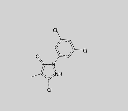 Cc1c(Cl)[nH]n(-c2cc(Cl)cc(Cl)c2)c1=O